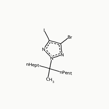 CCCCCCCC(C)(CCCCC)n1nc(Br)c(I)n1